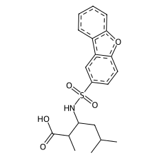 CC(C)CC(NS(=O)(=O)c1ccc2oc3ccccc3c2c1)C(C)C(=O)O